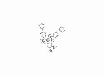 O=S(=O)(Nc1cc(Br)c(Br)cc1NS(=O)(=O)c1ccc(-c2ccccc2)cc1)c1ccc(-c2ccccc2)cc1